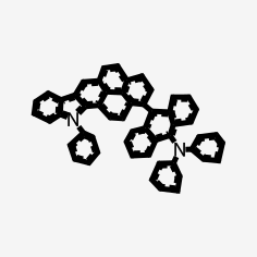 c1ccc(N(c2ccccc2)c2c3ccccc3c(-c3ccc4ccc5cc6c7ccccc7n(-c7ccccc7)c6c6ccc3c4c56)c3ccccc23)cc1